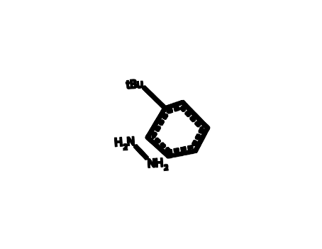 CC(C)(C)c1ccccc1.NN